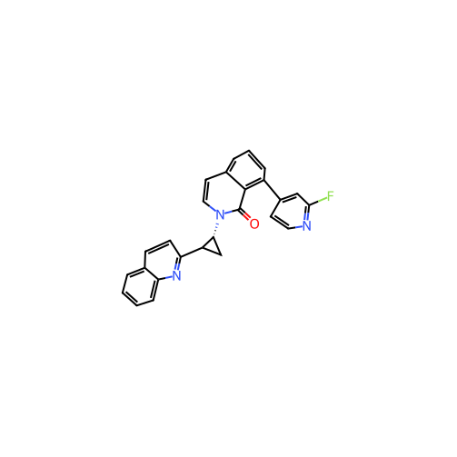 O=c1c2c(-c3ccnc(F)c3)cccc2ccn1[C@@H]1CC1c1ccc2ccccc2n1